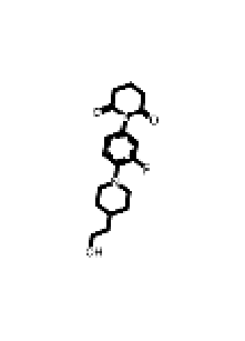 O=C1CCCC(=O)N1c1ccc(N2CCC(CCO)CC2)c(F)c1